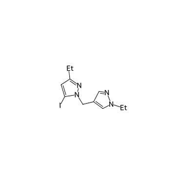 CCc1cc(I)n(Cc2cnn(CC)c2)n1